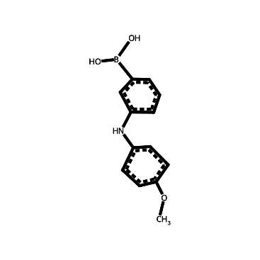 COc1ccc(Nc2cccc(B(O)O)c2)cc1